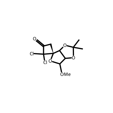 COC1O[C@@]2(CC(=O)C2(Cl)Cl)C2OC(C)(C)OC12